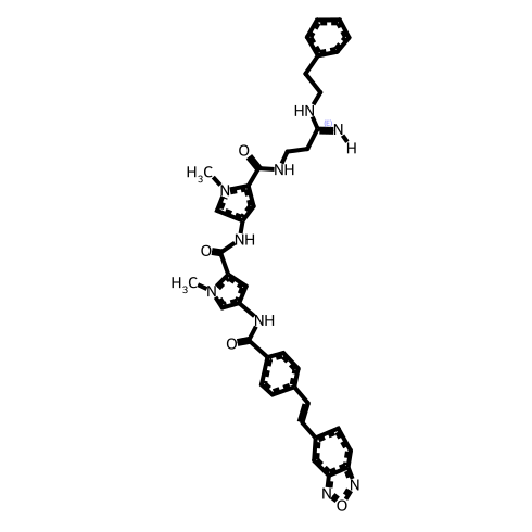 [H]/N=C(\CCNC(=O)c1cc(NC(=O)c2cc(NC(=O)c3ccc(C=Cc4ccc5nonc5c4)cc3)cn2C)cn1C)NCCc1ccccc1